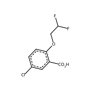 O=C(O)c1cc(Cl)ccc1OCC(F)F